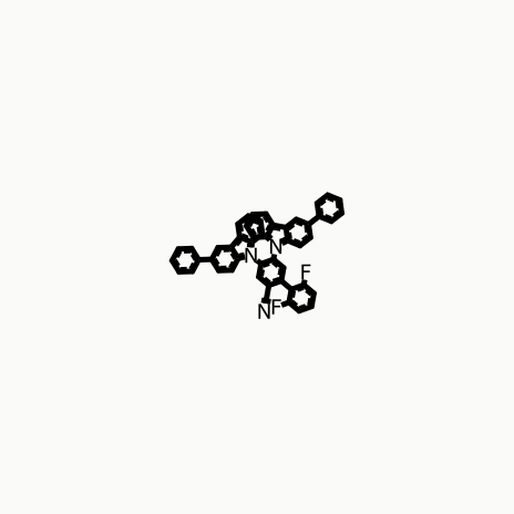 N#Cc1cc(-n2c3ccccc3c3cc(-c4ccccc4)ccc32)c(-n2c3ccccc3c3cc(-c4ccccc4)ccc32)cc1-c1c(F)cccc1F